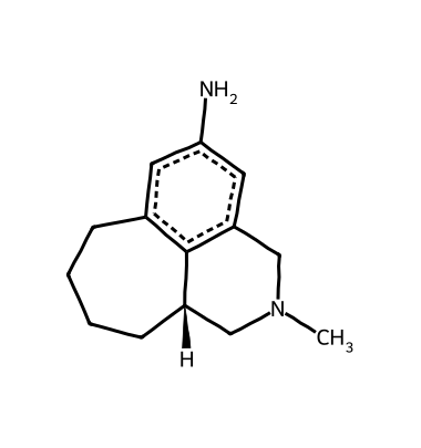 CN1Cc2cc(N)cc3c2[C@@H](CCCC3)C1